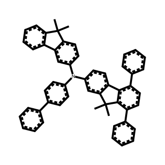 CC1(C)c2ccccc2-c2cc(N(c3ccc(-c4ccccc4)cc3)c3ccc4c(c3)C(C)(C)c3c(-c5ccccc5)ccc(-c5ccccc5)c3-4)ccc21